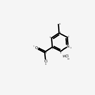 Cc1cncc(C(=O)Cl)c1.Cl